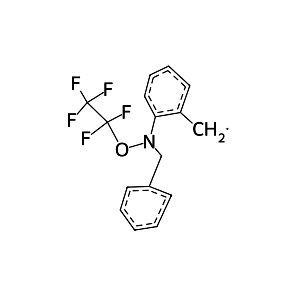 [CH2]c1ccccc1N(Cc1ccccc1)OC(F)(F)C(F)(F)F